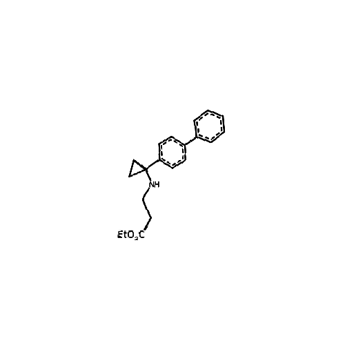 CCOC(=O)CCNC1(c2ccc(-c3ccccc3)cc2)CC1